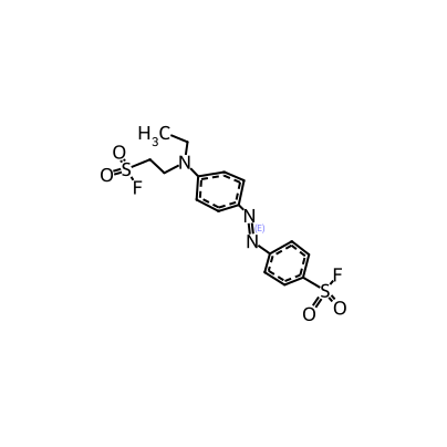 CCN(CCS(=O)(=O)F)c1ccc(/N=N/c2ccc(S(=O)(=O)F)cc2)cc1